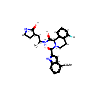 COc1cccc2[nH]c(C(=O)N3CCc4c(F)cccc4C3C(=O)NC(C#N)CC3CCNC3=O)cc12